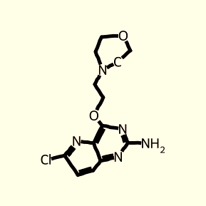 Nc1nc(OCCN2CCOCC2)c2nc(Cl)ccc2n1